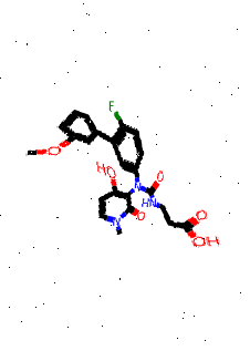 COc1cccc(-c2cc(N(C(=O)NCCC(=O)O)c3c(O)ccn(C)c3=O)ccc2F)c1